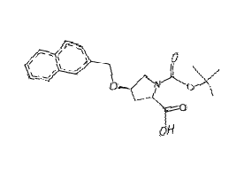 CC(C)(C)OC(=O)N1C[C@H](OCc2ccc3ccccc3c2)CC1C(=O)O